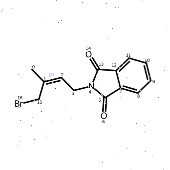 C/C(=C/CN1C(=O)c2ccccc2C1=O)CBr